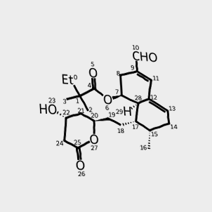 CCC(C)(C)C(=O)O[C@H]1CC(C=O)=CC2=CC[C@H](C)[C@H](CC[C@@H]3C[C@@H](O)CC(=O)O3)[C@H]21